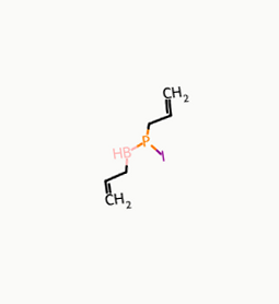 C=CCBP(I)CC=C